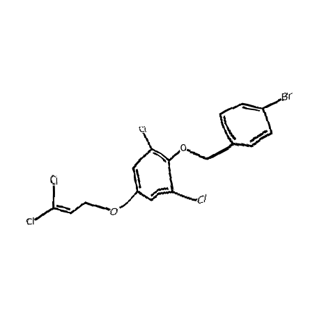 ClC(Cl)=CCOc1cc(Cl)c(OCc2ccc(Br)cc2)c(Cl)c1